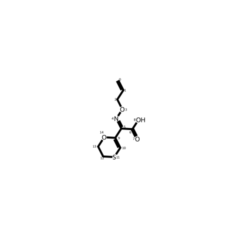 C=CCON=C(C(=O)O)C1=CSCCO1